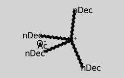 CC(=O)[O-].CCCCCCCCCCCCCCCCCCCCCCCC[N+](CCCCCCCCCCCCCCCCCCCCCCCC)(CCCCCCCCCCCCCCCCCCCCCCCC)CCCCCCCCCCCCCCCCCCCCCCCC